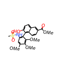 COC(=O)c1ccc2c(-c3c(NS(C)(=O)=O)cc(OC)c(OC)c3OC)c(O)ccc2c1